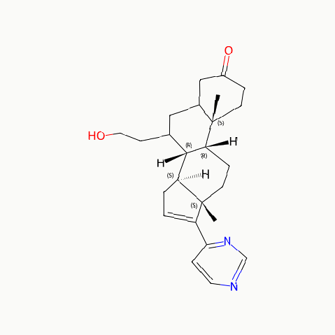 C[C@]12CCC(=O)CC1CC(CCO)[C@@H]1[C@H]2CC[C@]2(C)C(c3ccncn3)=CC[C@@H]12